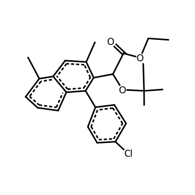 CCOC(=O)C(OC(C)(C)C)c1c(C)cc2c(C)cccc2c1-c1ccc(Cl)cc1